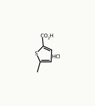 Cc1ccc(C(=O)O)s1.Cl